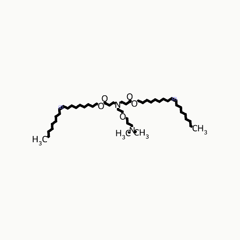 CCCCCCCC/C=C\CCCCCCCCOC(=O)CCN(CCOCCCN(C)C)CCC(=O)OCCCCCCCC/C=C\CCCCCCCC